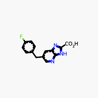 O=C(O)c1nc2cc(Cc3ccc(F)cc3)cnc2[nH]1